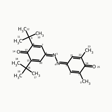 CC1=CC(=NN=C2C=C(C(C)(C)C)C(=O)C(C(C)(C)C)=C2)C=C(C)C1=O